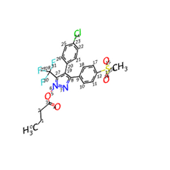 CCCC(=O)On1nc(-c2ccc(S(C)(=O)=O)cc2)c(-c2ccc(Cl)cc2)c1C(F)(F)F